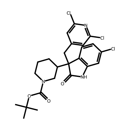 CC(C)(C)OC(=O)N1CCCC(C2(Cc3cc(Cl)nc(Cl)c3)C(=O)Nc3cc(Cl)ccc32)C1